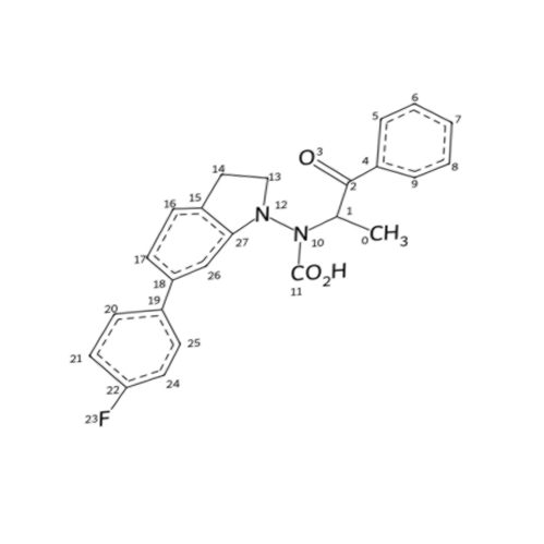 CC(C(=O)c1ccccc1)N(C(=O)O)N1CCc2ccc(-c3ccc(F)cc3)cc21